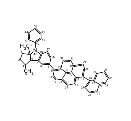 CC1CCC2(C)C1c1cc(-c3ccc4ccc5c(-c6cccc7ccccc67)ccc6ccc3c4c65)ccc1N2c1ccccc1